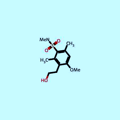 CNS(=O)(=O)c1c(C)cc(OC)c(CCO)c1C